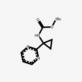 CC(C)(C)OC(=O)NC1(c2ncccn2)CC1